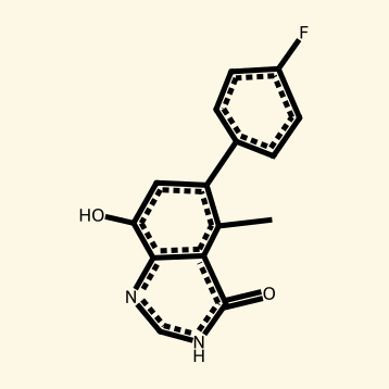 Cc1c(-c2ccc(F)cc2)cc(O)c2nc[nH]c(=O)c12